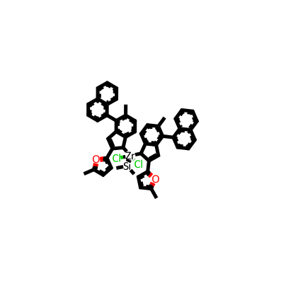 Cc1ccc(C2=Cc3c(ccc(C)c3-c3cccc4ccccc34)[CH]2[Zr]([Cl])([Cl])([CH]2C(c3ccc(C)o3)=Cc3c2ccc(C)c3-c2cccc3ccccc23)=[Si](C)C)o1